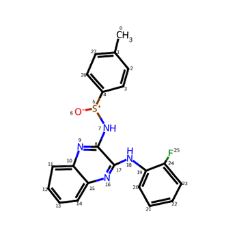 Cc1ccc([S+]([O-])Nc2nc3ccccc3nc2Nc2ccccc2F)cc1